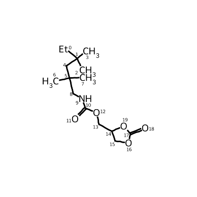 CCC(C)(C)CC(C)(C)CNC(=O)OCC1COC(=O)O1